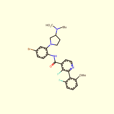 COc1cccc(F)c1-c1nccc(C(=O)Nc2ccc(Br)cc2N2CCC(N(C(=O)O)C(C)(C)C)C2)c1F